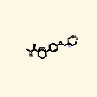 CNC(=O)C12CCCC(c3ccc(OC/C(=C/F)CN)cc3)(CC1)C2